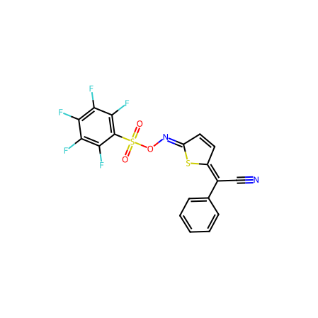 N#C/C(=C1C=C/C(=N/OS(=O)(=O)c2c(F)c(F)c(F)c(F)c2F)S\1)c1ccccc1